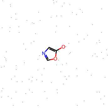 [O]c1cnco1